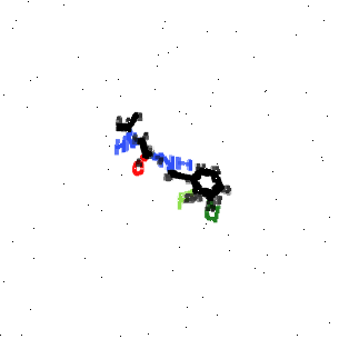 CC(C)NCC(=O)NCc1cccc(Cl)c1F